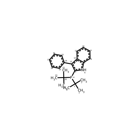 CC(C)(C)P(c1[nH]c2ccccc2c1-c1ccccc1)C(C)(C)C